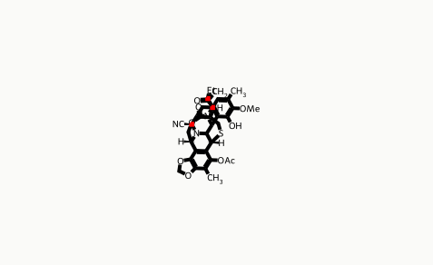 C=CCN1C2c3c(cc(C)c(OC)c3O)CC1[C@H](C#N)N1C2[C@@H]2SCC(NC(=O)CC)C(=O)OC[C@H]1c1c3c(c(C)c(OC(C)=O)c12)OCO3